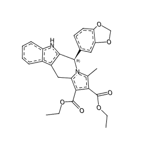 CCOC(=O)c1c(C(=O)OCC)c2n(c1C)[C@H](c1ccc3c(c1)OCO3)c1[nH]c3ccccc3c1C2